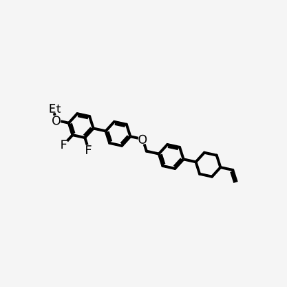 C=CC1CCC(c2ccc(COc3ccc(-c4ccc(OCC)c(F)c4F)cc3)cc2)CC1